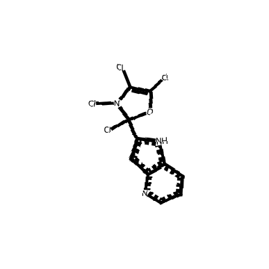 ClC1=C(Cl)N(Cl)C(Cl)(c2cc3ncccc3[nH]2)O1